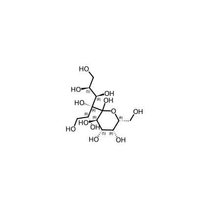 OC[C@@H](O)[C@@](O)([C@H](O)[C@@H](O)CO)C1(O)O[C@H](CO)[C@H](O)[C@H](O)[C@H]1O